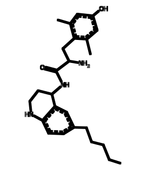 CCCCCc1ccc2c(c1)C(NC(=O)C(N)Cc1c(C)cc(O)cc1C)CCN2